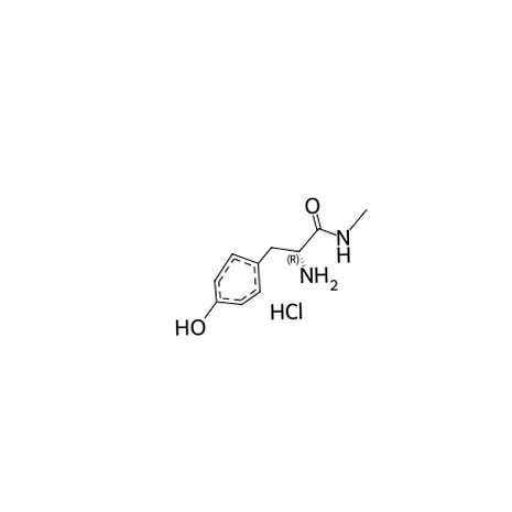 CNC(=O)[C@H](N)Cc1ccc(O)cc1.Cl